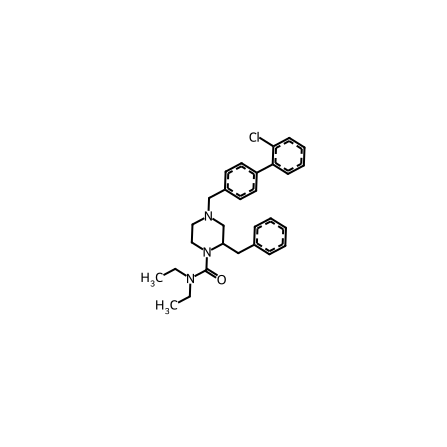 CCN(CC)C(=O)N1CCN(Cc2ccc(-c3ccccc3Cl)cc2)CC1Cc1ccccc1